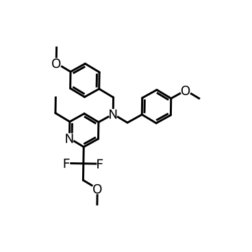 CCc1cc(N(Cc2ccc(OC)cc2)Cc2ccc(OC)cc2)cc(C(F)(F)COC)n1